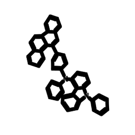 c1ccc(N(c2ccc(-c3cc4ccccc4c4ccc5ccccc5c34)cc2)c2cccc3c2c2ccccc2n3-c2ccccc2)cc1